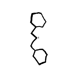 [C](CC1CCCCC1)CC1CCCCC1